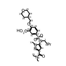 CC(C)CN(c1cc(C(=O)N(C)C)nn1C)S(=O)(=O)c1ccc(OCC2CCOCC2)c(C(=O)O)c1